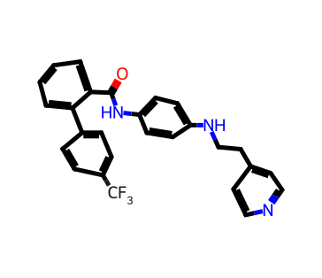 O=C(Nc1ccc(NCCc2ccncc2)cc1)c1ccccc1-c1ccc(C(F)(F)F)cc1